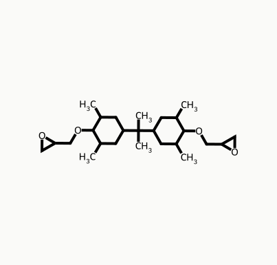 CC1CC(C(C)(C)C2CC(C)C(OCC3CO3)C(C)C2)CC(C)C1OCC1CO1